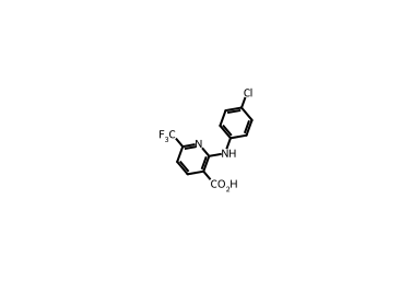 O=C(O)c1ccc(C(F)(F)F)nc1Nc1ccc(Cl)cc1